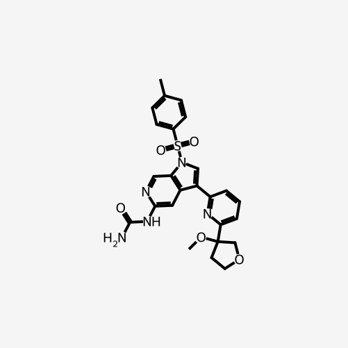 COC1(c2cccc(-c3cn(S(=O)(=O)c4ccc(C)cc4)c4cnc(NC(N)=O)cc34)n2)CCOC1